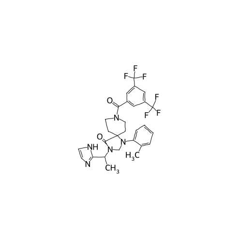 Cc1ccccc1N1CN(C(C)c2ncc[nH]2)C(=O)C12CCN(C(=O)c1cc(C(F)(F)F)cc(C(F)(F)F)c1)CC2